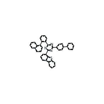 c1ccc(-c2ccc(-c3nc(-c4ccccc4-c4cccc5ccccc45)nc(-c4cccc5c4sc4ccccc45)n3)cc2)cc1